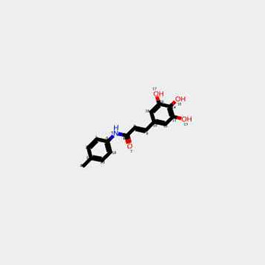 Cc1ccc(NC(=O)/C=C/c2cc(O)c(O)c(O)c2)cc1